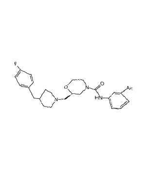 CC(=O)c1cccc(NC(=O)N2CCO[C@H](CN3CCC(Cc4ccc(F)cc4)CC3)C2)c1